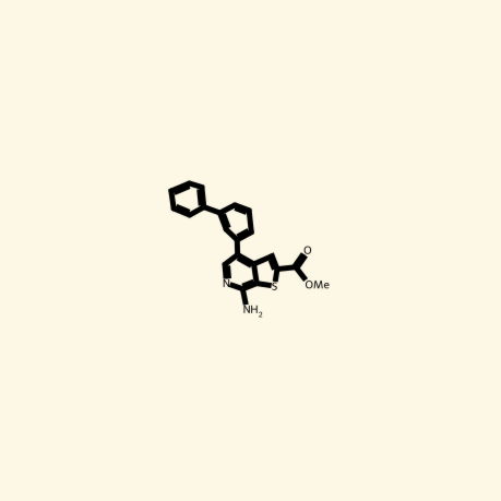 COC(=O)c1cc2c(-c3cccc(-c4ccccc4)c3)cnc(N)c2s1